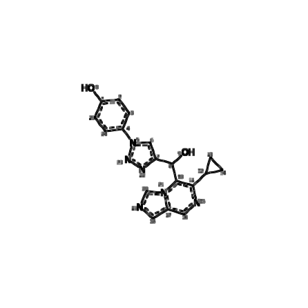 Oc1ccc(-n2cc(C(O)c3c(C4CC4)ncc4cncn34)nn2)cc1